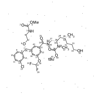 COC(=O)NCCO[C@@H](c1cccc(Cl)c1)c1cc(OC(F)F)cc(C(=O)NC[C@H](C[C@H](C)CCCO)N(C)C(=O)OC(C)(C)C)c1